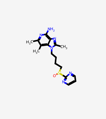 Cc1nc(N)c2nc(C)n(CCCC[S+]([O-])c3ncccn3)c2c1C